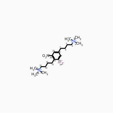 C[N+](C)(C)CCCCc1ccc(CCCC[N+](C)(C)C)c([N+](=O)[O-])c1.[I-].[I-]